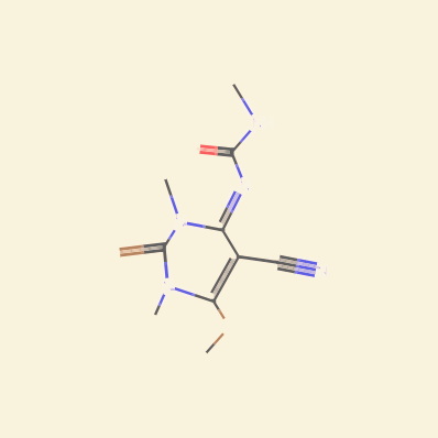 CNC(=O)/N=c1/c(C#N)c(SC)n(C)c(=S)n1C